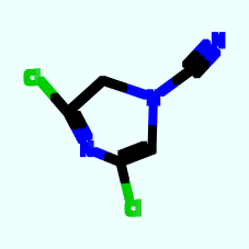 N#CN1C=C(Cl)N=C(Cl)C1